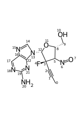 CC#C[C@@]1(F)C(N=O)[C@@H](CO)O[C@H]1n1cnc2cnc(N)nc21